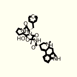 CN1C[C@@H](C(=O)N[C@]2(C)O[C@@]3(O)[C@@H]4CCCN4C(=O)[C@H](Cc4ccccc4)N3C2=O)C=C2c3cccc4[nH]cc(c34)C[C@H]21